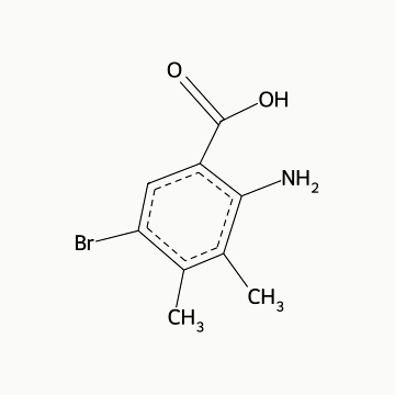 Cc1c(Br)cc(C(=O)O)c(N)c1C